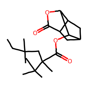 CCC(C)(C)CC(C)(C(=O)OC1C2CC3C(=O)OC1C3C2)C(C)(C)C